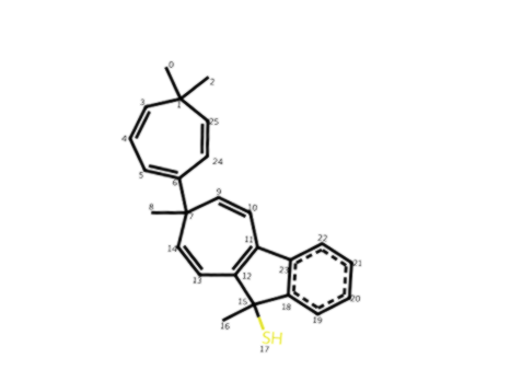 CC1(C)C=CC=C(C2(C)C=CC3=C(C=C2)C(C)(S)c2ccccc23)C=C1